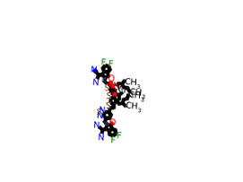 CCCCC(CC)COc1cc(/C=C2\C(=O)c3cc(F)c(F)cc3C2=C(C#N)C#N)sc1-c1cc2c(s1)-c1sc(-c3ccc(/C=C4\C(=O)c5cc(F)c(F)cc5C4=C(C#N)C#N)c4nsnc34)cc1C2(CC(CC)CCCC)CC(CC)CCCC